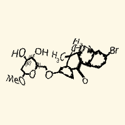 COC1C[C@@H](O)[C@H](O)[C@@H](COc2ccc3c(c2)C(C)(C)c2[nH]c4cc(Br)ccc4c2C3=O)O1